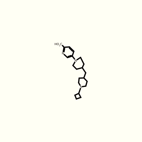 O=C(O)c1ccc(N2CCC(CC3CCN(C4CCC4)CC3)CC2)cn1